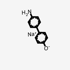 Nc1ccc(-c2ccc([O-])cc2)cc1.[Na+]